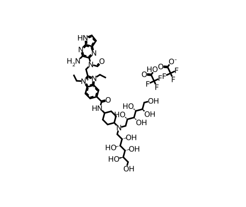 CCn1c(CN(C=O)c2nc3cc[nH]c3nc2N)[n+](CC)c2ccc(C(=O)NC3CCC(N(C[C@H](O)[C@@H](O)[C@H](O)[C@H](O)CO)C[C@H](O)[C@@H](O)[C@H](O)[C@H](O)CO)CC3)cc21.O=C(O)C(F)(F)F.O=C([O-])C(F)(F)F